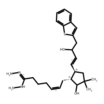 CC1(C)C[C@H](/C=C/C(O)Cc2cc3ccccc3s2)[C@@H](C/C=C\CCC/C(=N/N)NN)C1O